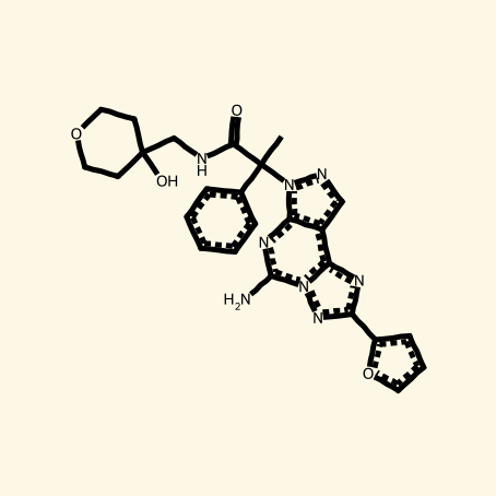 CC(C(=O)NCC1(O)CCOCC1)(c1ccccc1)n1ncc2c1nc(N)n1nc(-c3ccco3)nc21